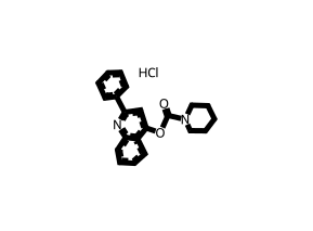 Cl.O=C(Oc1cc(-c2ccccc2)nc2ccccc12)N1CCCCC1